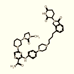 CN1CCN([C@@H]2CCCN(c3cnc(C(N)=O)c(Nc4ccc(N5CCN(CCCCc6cccc7c6CN(C6CCC(=O)NC6=O)C7=O)CC5)cc4)n3)C2)C1=O